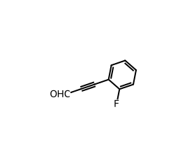 O=CC#Cc1ccccc1F